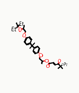 CCCC(C)(C)C(=O)/C=C/C(=O)OC(C)COc1ccc(C(C)(C)c2ccc(OCC(C)OC(C)(CC)CC)cc2)cc1